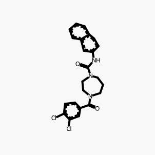 O=C(Nc1ccc2ccccc2c1)N1CCCN(C(=O)c2ccc(Cl)c(Cl)c2)CC1